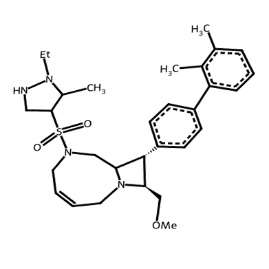 CCN1NCC(S(=O)(=O)N2C/C=C\CN3C(C2)[C@H](c2ccc(-c4cccc(C)c4C)cc2)[C@H]3COC)C1C